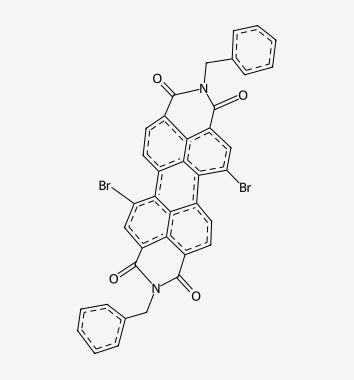 O=C1c2ccc3c4c(Br)cc5c6c(ccc(c7c(Br)cc(c2c37)C(=O)N1Cc1ccccc1)c64)C(=O)N(Cc1ccccc1)C5=O